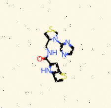 O=C(NCC1=CSCN1c1cnccn1)c1cc2sccc2[nH]1